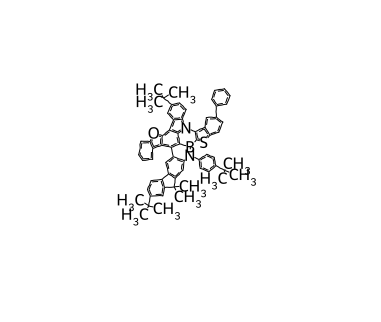 CC(C)(C)c1ccc(N2B3c4sc5ccc(-c6ccccc6)cc5c4-n4c5ccc(C(C)(C)C)cc5c5c6oc7ccccc7c6c(c3c54)-c3cc4c(cc32)C(C)(C)c2cc(C(C)(C)C)ccc2-4)cc1